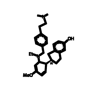 CCN(Cc1ccc(CCN(C)C)cc1)C1C=C(OC)C=CC1[C@@H]1CCc2cc(O)ccc2C1